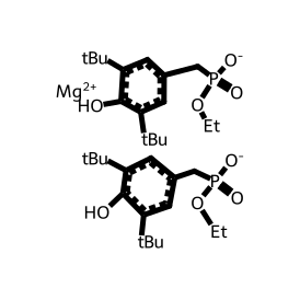 CCOP(=O)([O-])Cc1cc(C(C)(C)C)c(O)c(C(C)(C)C)c1.CCOP(=O)([O-])Cc1cc(C(C)(C)C)c(O)c(C(C)(C)C)c1.[Mg+2]